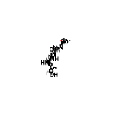 CCc1cc(O)c(F)cc1-c1ccc2c(-c3nc4c([nH]3)CCN(C(=O)c3cnc(N(C)CCN5CCC[S+]5[O-])cn3)C4)n[nH]c2c1